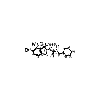 COC1(OC)c2cc(Br)ccc2CC1OC(=O)NCC1CCCCC1